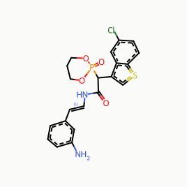 Nc1cccc(/C=C/NC(=O)C(c2csc3ccc(Cl)cc23)P2(=O)OCCCO2)c1